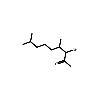 CC(=O)C(O)C(C)CCCC(C)C